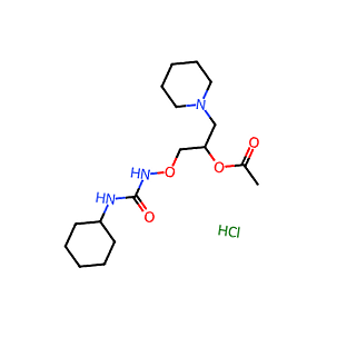 CC(=O)OC(CONC(=O)NC1CCCCC1)CN1CCCCC1.Cl